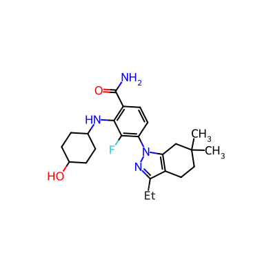 CCc1nn(-c2ccc(C(N)=O)c(NC3CCC(O)CC3)c2F)c2c1CCC(C)(C)C2